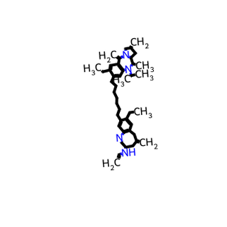 C=CNC1/C=N\c2cc(CCCCCCCc3cc4c(cc3CC)C(=C)N3CC(=C)CC3C(C)N4C(C)C)c(CC)cc2CC(=C)C1